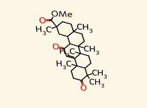 COC(=O)C1(C)CCC2(C)CCC3(C)C(C(=O)C=C4C5(C)CCC(=O)C(C)(C)C5CCC43C)C2C1